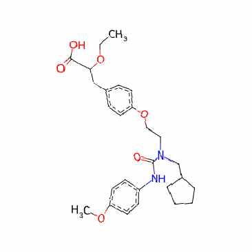 CCOC(Cc1ccc(OCCN(CC2CCCC2)C(=O)Nc2ccc(OC)cc2)cc1)C(=O)O